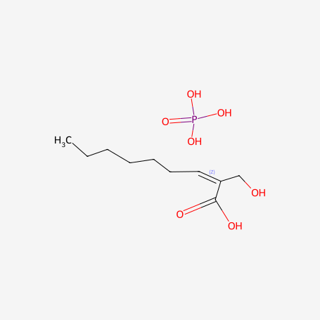 CCCCCC/C=C(/CO)C(=O)O.O=P(O)(O)O